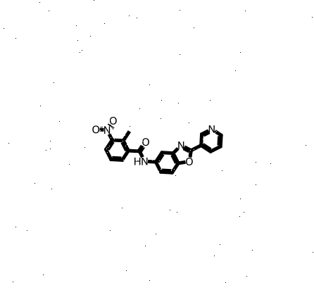 Cc1c(C(=O)Nc2ccc3oc(-c4cccnc4)nc3c2)cccc1[N+](=O)[O-]